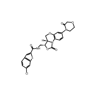 O=C(NC[C@@H]1OC(=O)N2c3ccc(N4CCOCC4=O)cc3OC[C@@H]12)c1cc2ccc(Cl)cc2s1